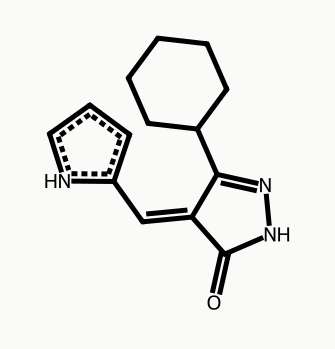 O=C1NN=C(C2CCCCC2)/C1=C\c1ccc[nH]1